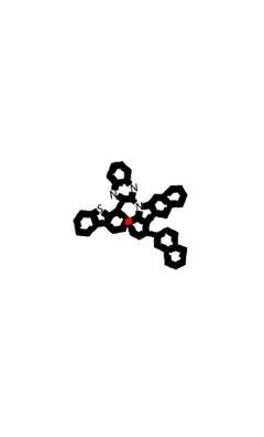 c1ccc2cc(-c3cccc4c3c3cc5ccccc5cc3n4-c3nc4ccccc4nc3-c3cccc4c3sc3ccccc34)ccc2c1